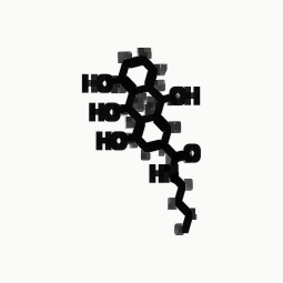 CCCCNC(=O)c1cc(O)c2c(c1)C(O)c1cccc(O)c1C2O